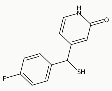 O=c1cc(C(S)c2ccc(F)cc2)cc[nH]1